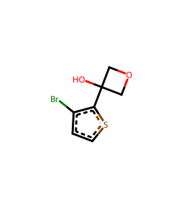 OC1(c2sccc2Br)COC1